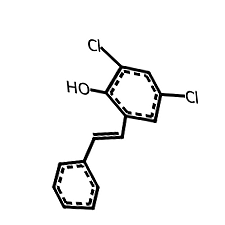 Oc1c(Cl)cc(Cl)cc1/C=C/c1ccccc1